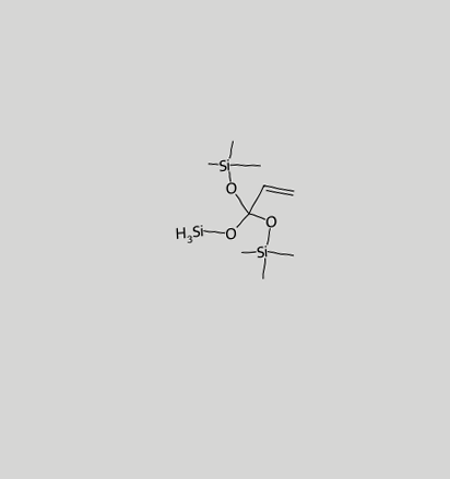 C=CC(O[SiH3])(O[Si](C)(C)C)O[Si](C)(C)C